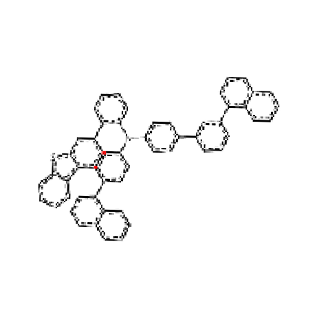 c1cc(-c2ccc(N(c3ccc(-c4cccc5ccccc45)cc3)c3ccccc3-c3ccc4c(c3)sc3ccccc34)cc2)cc(-c2cccc3ccccc23)c1